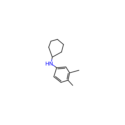 Cc1ccc(NC2CCCCC2)cc1C